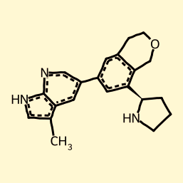 Cc1c[nH]c2ncc(-c3cc4c(c([C@H]5CCCN5)c3)COCC4)cc12